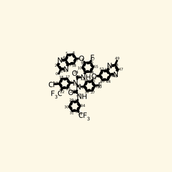 Cc1cnc2ccc(Oc3cc(NC(=O)N(c4ccc(Cl)c(C(F)(F)F)c4)N(C(=O)Nc4cccc(C(F)(F)F)c4)c4ccc(F)c(Oc5ccc6ncc(C)nc6c5)c4)ccc3F)cc2n1